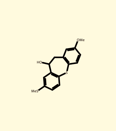 COc1ccc2c(c1)CC(O)c1cc(SC)ccc1S2